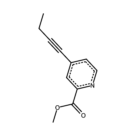 CCC#Cc1ccnc(C(=O)OC)c1